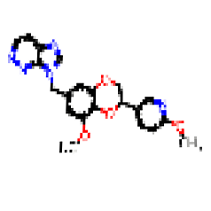 COc1ccc(C2COc3cc(Cn4cnc5ccnnc54)cc(OC)c3O2)cn1